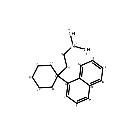 CN(C)CCC1(c2cccc3ccccc23)CCCCC1